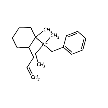 C=CCC1CCCCC1(C)[N+](C)(CC)Cc1ccccc1